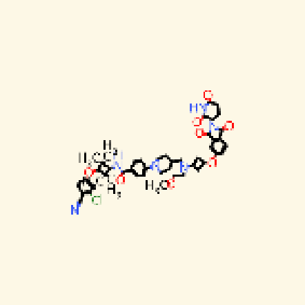 COCCN(CC1CCN(c2ccc(C(=O)NC3C(C)(C)C(Oc4ccc(C#N)c(Cl)c4)C3(C)C)cc2)CC1)C1CC(Oc2ccc3c(c2)C(=O)N([C@@H]2CCC(=O)NC2=O)C3=O)C1